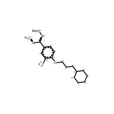 C=N/C(=N\OC)c1ccc(OCCCC2CCCCC2)c(C(F)(F)F)c1